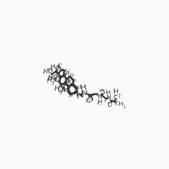 C=C(C)C(=O)NCC(=O)NCC(=O)N/N=C1/C=CC2(C)C(=C1)CCC1[C@@H]3C[C@@H](C)[C@](O)(C(=O)CO)C3(C)CC(O)[C@@]12F